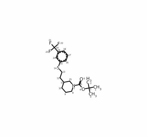 CC(C)(C)OC(=O)N1CCCC(CCSc2cccc(C(F)(F)F)c2)C1